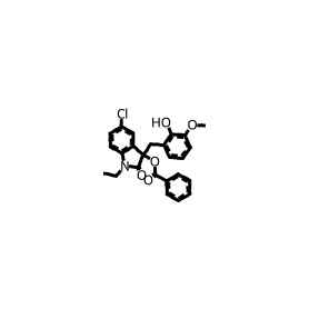 CCN1C(=O)C(Cc2cccc(OC)c2O)(OC(=O)c2ccccc2)c2cc(Cl)ccc21